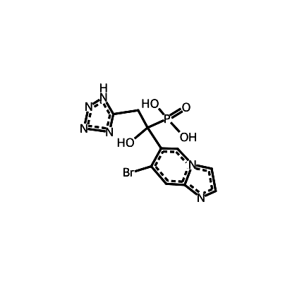 O=P(O)(O)C(O)(Cc1nnn[nH]1)c1cn2ccnc2cc1Br